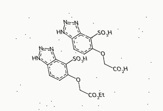 CCOC(=O)COc1ccc2[nH]nnc2c1S(=O)(=O)O.O=C(O)COc1ccc2[nH]nnc2c1S(=O)(=O)O